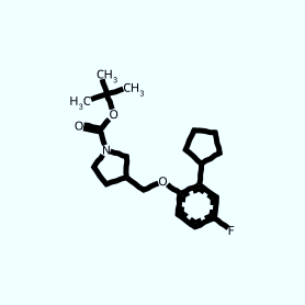 CC(C)(C)OC(=O)N1CCC(COc2ccc(F)cc2C2CCCC2)C1